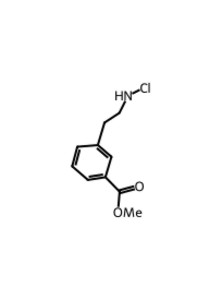 COC(=O)c1cccc(CCNCl)c1